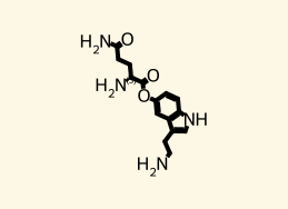 NCCc1c[nH]c2ccc(OC(=O)[C@@H](N)CCC(N)=O)cc12